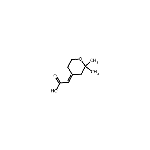 CC1(C)CC(=CC(=O)O)CCO1